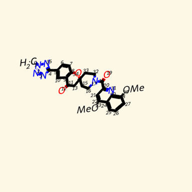 [CH2]n1nnc(-c2ccc3c(c2)C(=O)CC2(CCN(C(=O)c4cc(OC)c5cccc(OC)c5n4)CC2)O3)n1